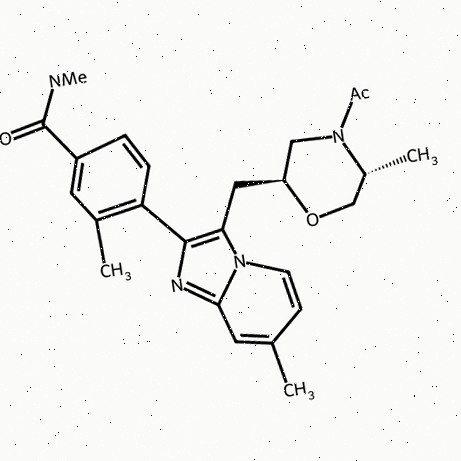 CNC(=O)c1ccc(-c2nc3cc(C)ccn3c2C[C@H]2CN(C(C)=O)[C@H](C)CO2)c(C)c1